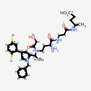 CC(CCC(=O)O)NC(=O)CCNC(=O)C(N)CCN(C(=O)CO)C(c1cc(-c2cc(F)ccc2F)cn1Cc1ccccc1)C(C)(C)C